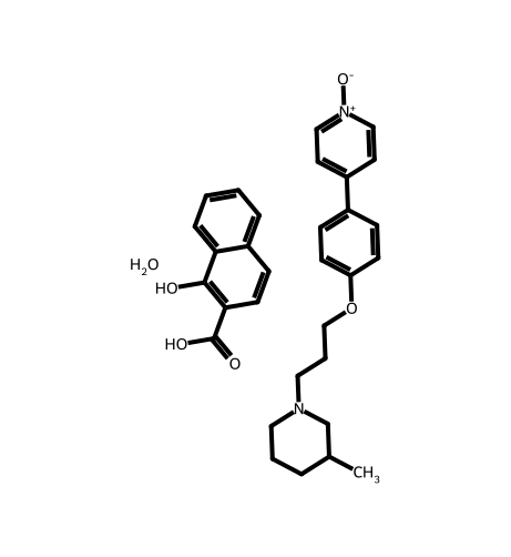 CC1CCCN(CCCOc2ccc(-c3cc[n+]([O-])cc3)cc2)C1.O.O=C(O)c1ccc2ccccc2c1O